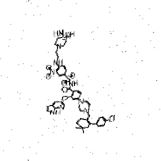 CC1(C)CCC(CN2CCN(c3ccc(C(=O)NS(=O)(=O)c4ccc(NCCN5CC[SH](=N)(O)CC5)c([N+](=O)[O-])c4)c(Oc4cnc5[nH]ccc5c4)c3)CC2)=C(c2ccc(Cl)cc2)C1